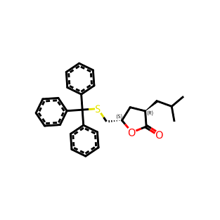 CC(C)C[C@@H]1C[C@@H](CSC(c2ccccc2)(c2ccccc2)c2ccccc2)OC1=O